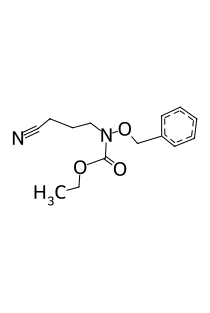 CCOC(=O)N(CCCC#N)OCc1ccccc1